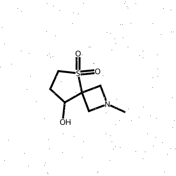 CN1CC2(C1)C(O)CCS2(=O)=O